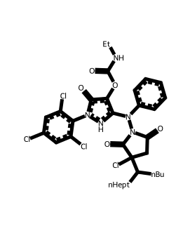 CCCCCCCC(CCCC)C1(Cl)CC(=O)N(N(c2ccccc2)c2[nH]n(-c3c(Cl)cc(Cl)cc3Cl)c(=O)c2OC(=O)NCC)C1=O